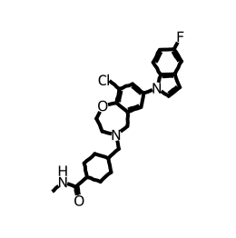 CNC(=O)C1CCC(CN2CCOc3c(Cl)cc(-n4ccc5cc(F)ccc54)cc3C2)CC1